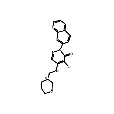 O=c1c(Cl)c(NC[C@@H]2CCCOC2)cnn1-c1ccc2cccnc2c1